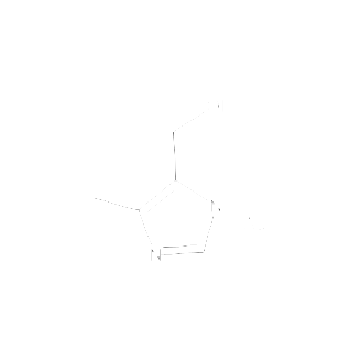 Cc1nc[nH]c1CO.[Au]